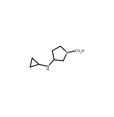 O=C(O)N1CCC(NC2CC2)C1